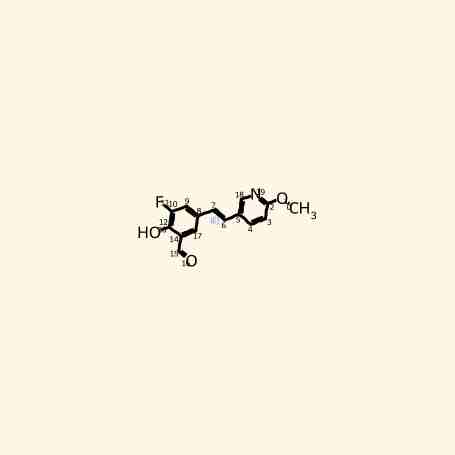 COc1ccc(/C=C/c2cc(F)c(O)c(C=O)c2)cn1